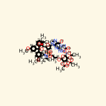 COc1ccc(C(OC(C(=O)C(C)C)[C@H]2O[C@@H](n3cnc4c(=O)[nH]c(N)nc43)C[C@@H]2OP(=O)(OCCCO[C@@H]2O[C@H](COC(C)=O)[C@@H](OC(C)=O)[C@H](OC(C)=O)[C@H]2OC(C)=O)N(C(C)C)C(C)C)(c2ccccc2)c2ccc(OC)cc2)cc1